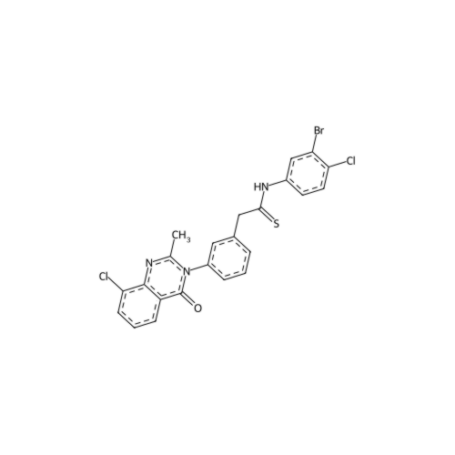 Cc1nc2c(Cl)cccc2c(=O)n1-c1cccc(CC(=S)Nc2ccc(Cl)c(Br)c2)c1